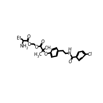 CCC(N)C(=O)OCOC(=O)C(C)(C)Oc1ccc(CCNC(=O)c2ccc(Cl)cc2)cc1